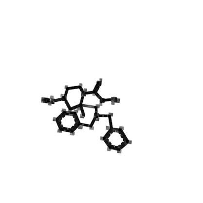 CC(C)(C)OC(=O)N1CCN(C(=O)O)CC1(C)CN(Cc1ccccc1)Cc1ccccc1